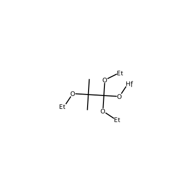 CCOC(C)(C)C([O][Hf])(OCC)OCC